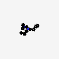 c1cc(-c2ccc(N(c3ccc(-c4cccc5c4sc4ccccc45)cc3)c3cccc(-n4c5ccccc5c5ccccc54)c3)cc2)cc(-c2ccc3ccccc3c2)c1